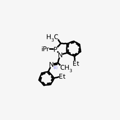 CCc1ccccc1/N=C(\C)N1c2c(CC)cccc2C(C)P1C(C)C